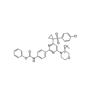 C[C@H]1COCCN1c1cc(C2(S(=O)(=O)c3ccc(Cl)cc3)CC2)nc(-c2ccc(NC(=O)Oc3ccccc3)cc2)n1